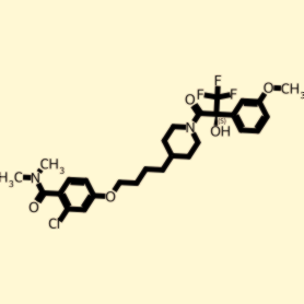 COc1cccc([C@](O)(C(=O)N2CCC(CCCCOc3ccc(C(=O)N(C)C)c(Cl)c3)CC2)C(F)(F)F)c1